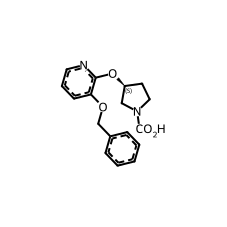 O=C(O)N1CC[C@H](Oc2ncccc2OCc2ccccc2)C1